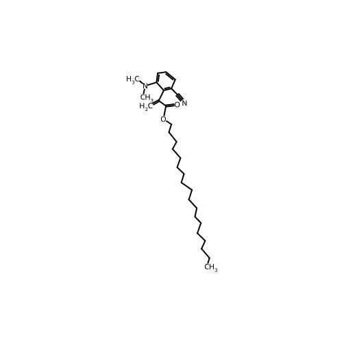 C=C(C(=O)OCCCCCCCCCCCCCCCCCC)c1c(C#N)cccc1N(C)C